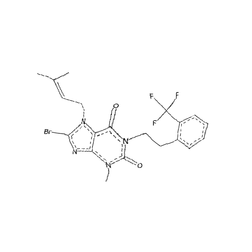 CC(C)=CCn1c(Br)nc2c1c(=O)n(CCc1ccccc1C(F)(F)F)c(=O)n2C